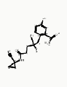 N#CC1(NC(=O)[CH]CC(F)(F)Cc2ccc(F)cc2C(N)=O)CC1